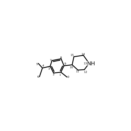 Cc1cc(C(C)C)ccc1C1CCNCC1